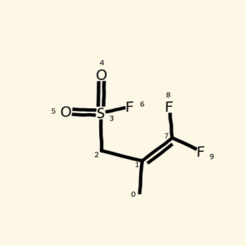 CC(CS(=O)(=O)F)=C(F)F